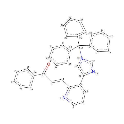 O=C(/C=C/c1ncccc1-c1cn(C(c2ccccc2)(c2ccccc2)c2ccccc2)cn1)c1ccccc1